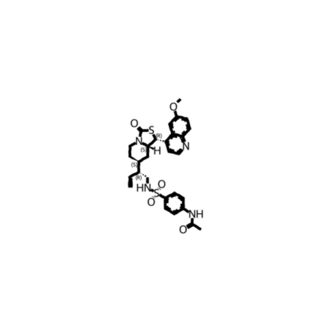 C=C[C@@H](CNS(=O)(=O)c1ccc(NC(C)=O)cc1)[C@H]1CCN2C(=O)S[C@H](c3ccnc4ccc(OC)cc34)[C@@H]2C1